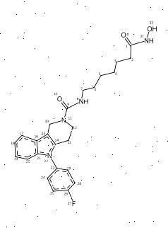 O=C(CCCCCCNC(=O)N1CCc2c(c3ccccc3n2-c2ccc(F)cc2)C1)NO